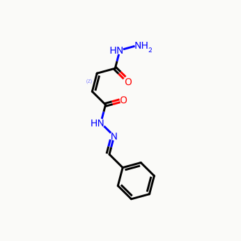 NNC(=O)/C=C\C(=O)NN=Cc1ccccc1